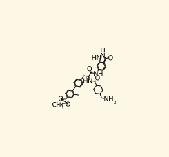 Cc1cc(S(=O)(=O)N(C)Cl)ccc1-c1ccc(C[C@H](NC(=O)C2CCC(CN)CC2)C(=O)Nc2ccc3c(=O)[nH][nH]c3c2)cc1